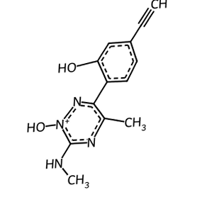 C#Cc1ccc(-c2n[n+](O)c(NC)nc2C)c(O)c1